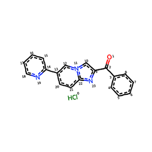 Cl.O=C(c1ccccc1)c1cn2cc(-c3ccccn3)ccc2n1